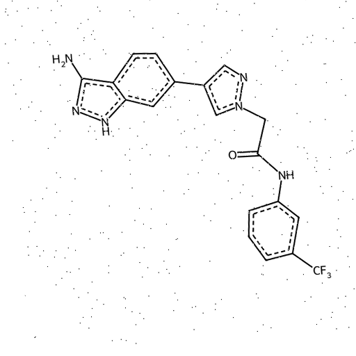 Nc1n[nH]c2cc(-c3cnn(CC(=O)Nc4cccc(C(F)(F)F)c4)c3)ccc12